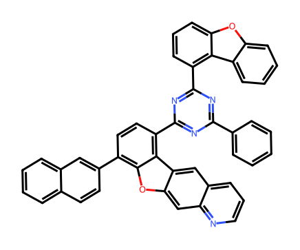 c1ccc(-c2nc(-c3cccc4oc5ccccc5c34)nc(-c3ccc(-c4ccc5ccccc5c4)c4oc5cc6ncccc6cc5c34)n2)cc1